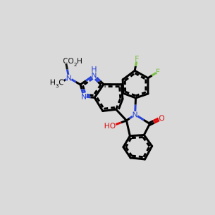 CN(C(=O)O)c1nc2cc(C3(O)c4ccccc4C(=O)N3c3ccc(F)c(F)c3)ccc2[nH]1